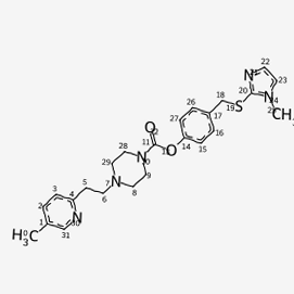 Cc1ccc(CCN2CCN(C(=O)Oc3ccc(CSc4nccn4C)cc3)CC2)nc1